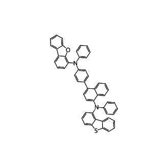 c1ccc(N(c2ccc(-c3ccc(N(c4ccccc4)c4cccc5sc6ccccc6c45)c4ccccc34)cc2)c2cccc3c2oc2ccccc23)cc1